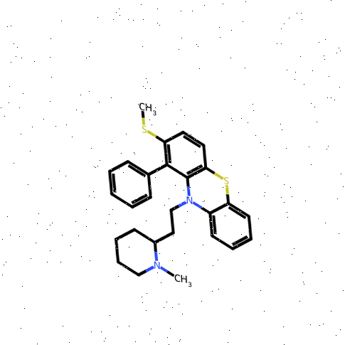 CSc1ccc2c(c1-c1ccccc1)N(CCC1CCCCN1C)c1ccccc1S2